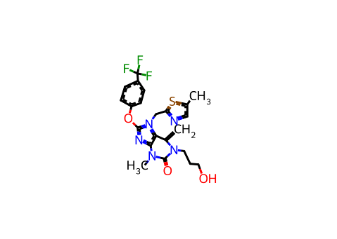 C=C1c2c(nc(Oc3ccc(C(F)(F)F)cc3)n2Cc2ncc(C)s2)N(C)C(=O)N1CCCO